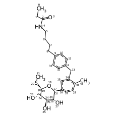 CCC(=O)NCCCCc1ccc(Cc2cc([C@@H]3O[C@H](SC)[C@@H](O)[C@H](O)[C@H]3O)ccc2C)cc1